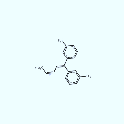 CCOC(=O)/C=C\C=C(c1cccc(C(F)(F)F)c1)c1cccc(C(F)(F)F)c1